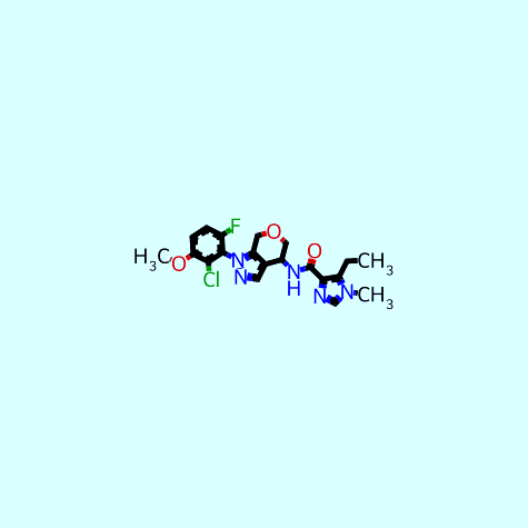 CCc1c(C(=O)NC2COCc3c2cnn3-c2c(F)ccc(OC)c2Cl)ncn1C